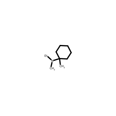 CCN(C)C1(C)CCCCC1